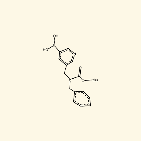 CC(C)(C)OC(=O)N(Cc1ccccc1)Cc1cncc(B(O)O)c1